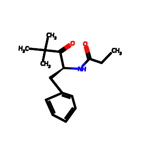 CCC(=O)N[C@@H](Cc1ccccc1)C(=O)C(C)(C)C